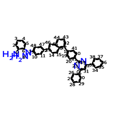 Nc1ccccc1N(N)c1ccc(-c2ccc3c(-c4ccc(-c5nc(-c6ccccc6)cc(-c6ccccc6)n5)cc4)cccc3c2)cc1